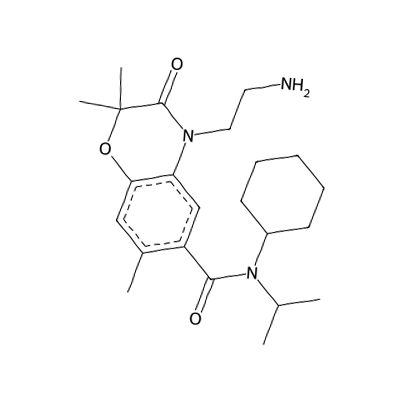 Cc1cc2c(cc1C(=O)N(C(C)C)C1CCCCC1)N(CCN)C(=O)C(C)(C)O2